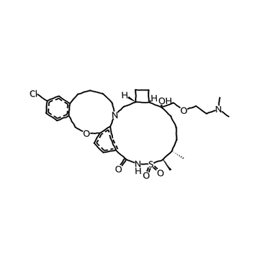 C[C@@H]1[C@@H](C)CCC[C@@](O)(COCCN(C)C)[C@@H]2CC[C@H]2CN2CCCCc3cc(Cl)ccc3COc3ccc(cc32)C(=O)NS1(=O)=O